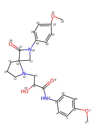 COc1ccc(NC(=O)C(O)CN2CCCC23CN(c2ccc(OC)cc2)C3=O)cc1